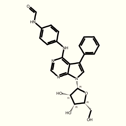 O=CNc1ccc(Nc2ncnc3c2c(-c2ccccc2)cn3[C@@H]2O[C@H](CO)[C@H](O)[C@@H]2O)cc1